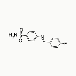 NS(=O)(=O)c1ccc(N=Cc2ccc(F)cc2)cc1